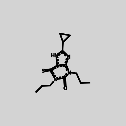 CCCn1c(=S)c2[nH]c(C3CC3)nc2n(CCC)c1=O